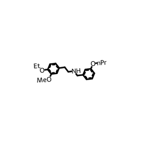 CCCOc1cccc(CNCCc2ccc(OCC)c(OC)c2)c1